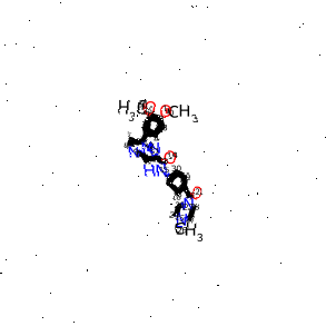 COc1ccc(-c2ccnc3cc(C(=O)NC4CCC(C(=O)N5CCN(C)CC5)CC4)nn23)cc1OC